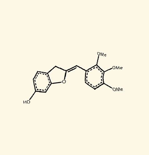 COc1ccc(C=C2Cc3ccc(O)cc3O2)c(OC)c1OC